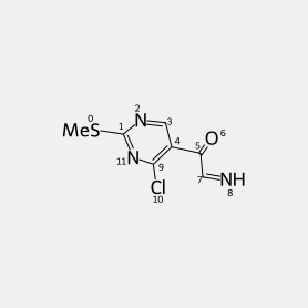 CSc1ncc(C(=O)C=N)c(Cl)n1